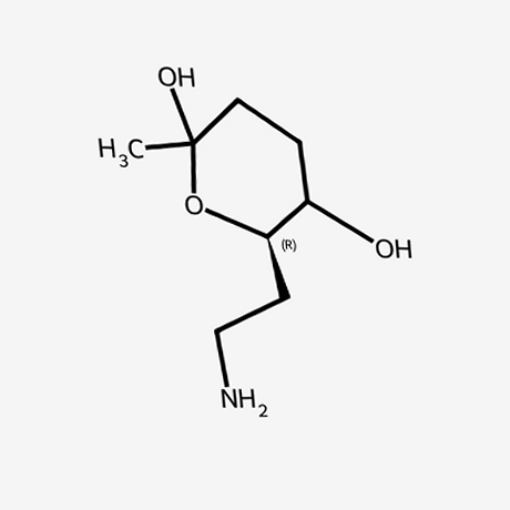 CC1(O)CCC(O)[C@@H](CCN)O1